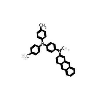 Cc1ccc(N(c2ccc(C)cc2)c2ccc(N(C)c3ccc4cc5ccccc5cc4c3)cc2)cc1